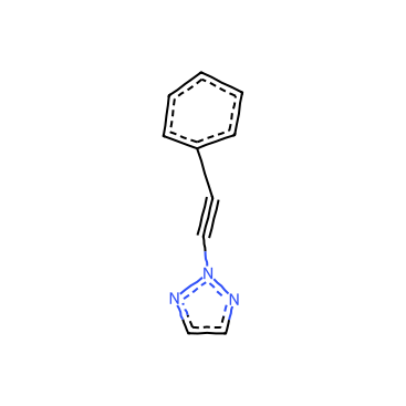 C(#Cn1nccn1)c1ccccc1